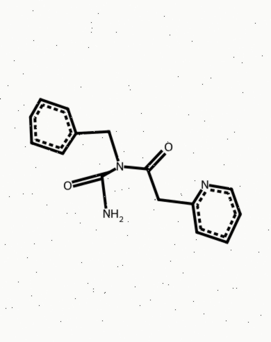 NC(=O)N(Cc1ccccc1)C(=O)[CH]c1ccccn1